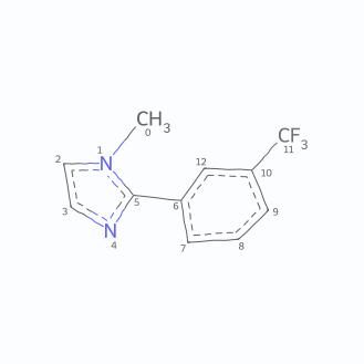 Cn1ccnc1-c1cccc(C(F)(F)F)c1